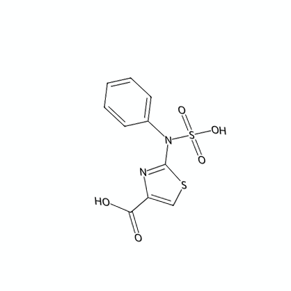 O=C(O)c1csc(N(c2ccccc2)S(=O)(=O)O)n1